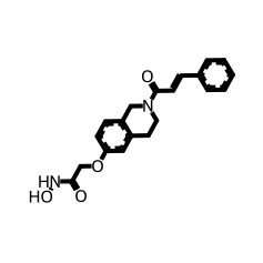 O=C(COc1ccc2c(c1)CCN(C(=O)/C=C/c1ccccc1)C2)NO